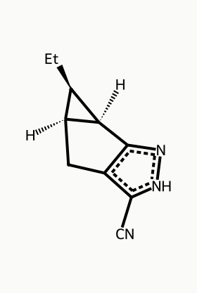 CC[C@@H]1[C@@H]2Cc3c(n[nH]c3C#N)[C@H]12